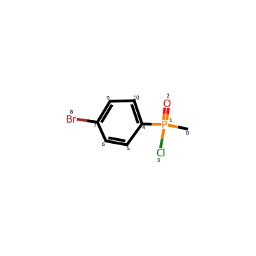 CP(=O)(Cl)c1ccc(Br)cc1